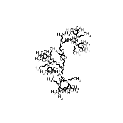 CCCCN(c1nc(NCCCN(CCCN)CCCC2OCC3(CO2)COC(CCCN(CCCNc2nc(N(CCCC)C4CC(C)(C)NC(C)(C)C4)nc(N(CCCC)C4CC(C)(C)NC(C)(C)C4)n2)CCCNc2nc4nc(n2)N(CCCC)C2CC(C)(C)NC5(C2)CC2(CC(CC(C)(C)N2)N4CCCC)C5)OC3)nc(N(CCCC)C2CC(C)(C)NC(C)(C)C2)n1)C1CC(C)(C)NC(C)(C)C1